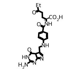 CCC(=O)CC[C@H](NC(=O)c1ccc(NCC2=CN=C3N=C(N)NC(=O)C23)cc1)C(=O)O